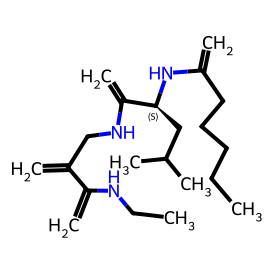 C=C(CCCCC)N[C@@H](CC(C)C)C(=C)NCC(=C)C(=C)NCC